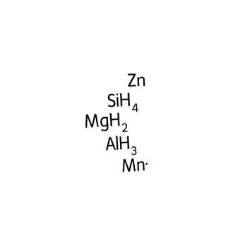 [AlH3].[MgH2].[Mn].[SiH4].[Zn]